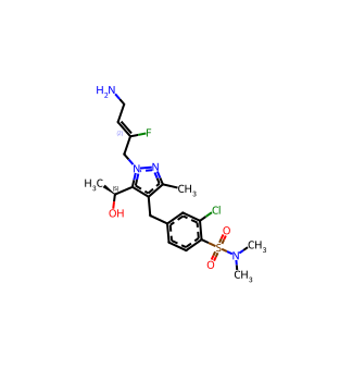 Cc1nn(C/C(F)=C/CN)c([C@H](C)O)c1Cc1ccc(S(=O)(=O)N(C)C)c(Cl)c1